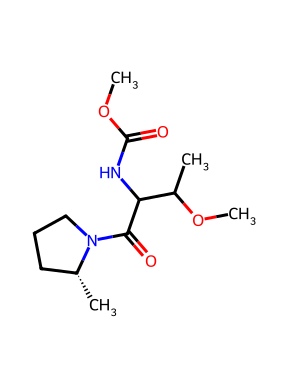 COC(=O)NC(C(=O)N1CCC[C@H]1C)C(C)OC